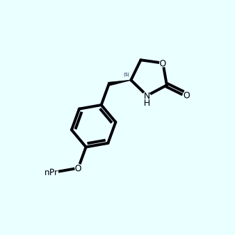 CCCOc1ccc(C[C@H]2COC(=O)N2)cc1